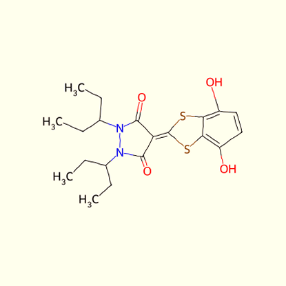 CCC(CC)N1C(=O)C(=C2Sc3c(O)ccc(O)c3S2)C(=O)N1C(CC)CC